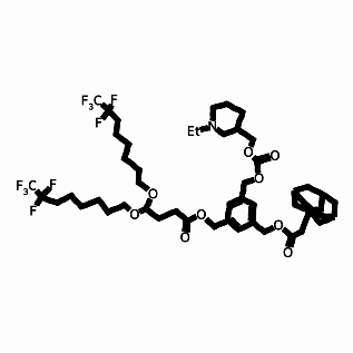 CCN1CCCC(COC(=O)OCc2cc(COC(=O)CCC(OCCCCCCC(F)(F)C(F)(F)F)OCCCCCCC(F)(F)C(F)(F)F)cc(COC(=O)CC34CC5CC(CC(C5)C3)C4)c2)C1